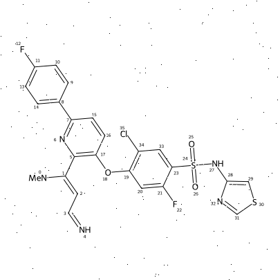 CN/C(=C\C=N)c1nc(-c2ccc(F)cc2)ccc1Oc1cc(F)c(S(=O)(=O)Nc2cscn2)cc1Cl